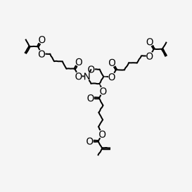 C=C(C)C(=O)OCCCCC(=O)O[C@H]1CN(OC(=O)CCCCOC(=O)C(=C)C)OC[C@H]1OC(=O)CCCCOC(=O)C(=C)C